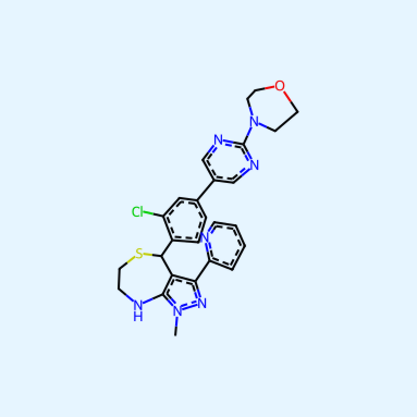 Cn1nc(-c2ccccn2)c2c1NCCSC2c1ccc(-c2cnc(N3CCOCC3)nc2)cc1Cl